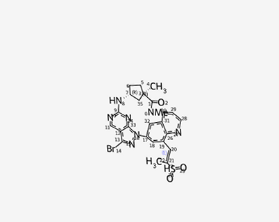 CNC(=O)[C@]1(C)CC[C@@H](Nc2ncc3c(Br)nn(-c4cc(/C=C(\C)[SH](=O)=O)c5ncccc5c4)c3n2)C1